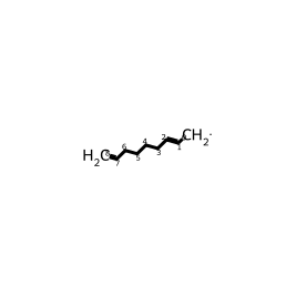 [CH2]/C=C/CCCCC=C